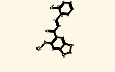 COc1cc2c(cc1C(=O)C=Cc1ccccc1Cl)OCO2